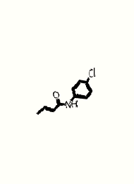 CC=CC(=O)Nc1ccc(Cl)cc1